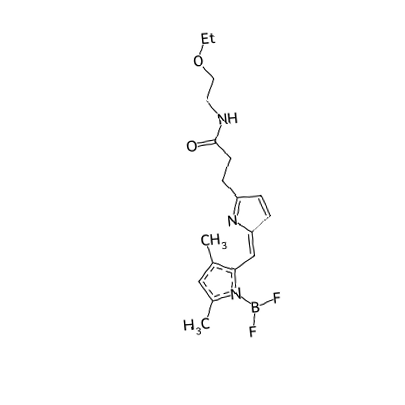 CCOCCNC(=O)CCC1=N/C(=C\c2c(C)cc(C)n2B(F)F)C=C1